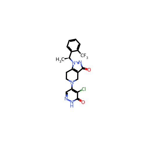 C[C@@H](c1ccccc1C(F)(F)F)[N+]1=NC(=O)C2=C1CCN(c1cn[nH]c(=O)c1Cl)C2